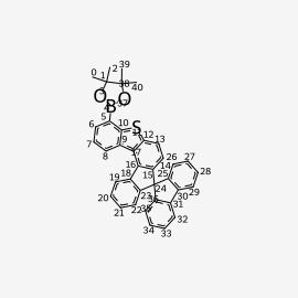 CC1(C)OB(c2cccc3c2sc2ccc4c(c23)-c2ccccc2C42c3ccccc3-c3ccccc32)OC1(C)C